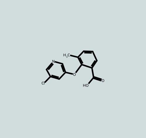 Cc1cccc(C(=O)O)c1Oc1cncc(Cl)c1